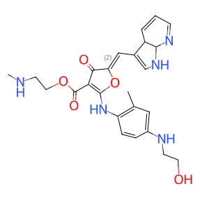 CNCCOC(=O)C1=C(Nc2ccc(NCCO)cc2C)O/C(=C\C2=CNC3N=CC=CC23)C1=O